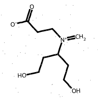 C=[N+](CCC(=O)[O-])C(CCO)CCO